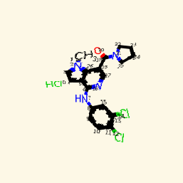 Cl.Cn1ccc2c(Nc3ccc(Cl)c(Cl)c3)ncc(C(=O)N3CCCC3)c21